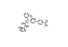 CN(C)C(=O)c1ccc(-c2ccc3c(n2)Oc2ccccc2C3C(C)(C)C(=O)Nc2ncn[nH]2)cc1